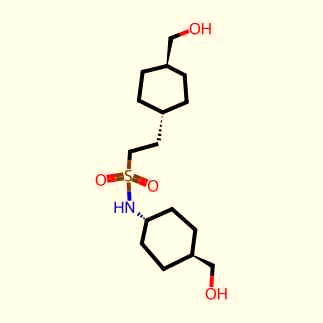 O=S(=O)(CC[C@H]1CC[C@H](CO)CC1)N[C@H]1CC[C@H](CO)CC1